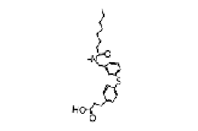 CCCCCCCC(=O)N(C)Cc1cccc(Sc2ccc(CCC(=O)O)cc2)c1